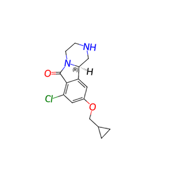 O=C1c2c(Cl)cc(OCC3CC3)cc2[C@@H]2CNCCN12